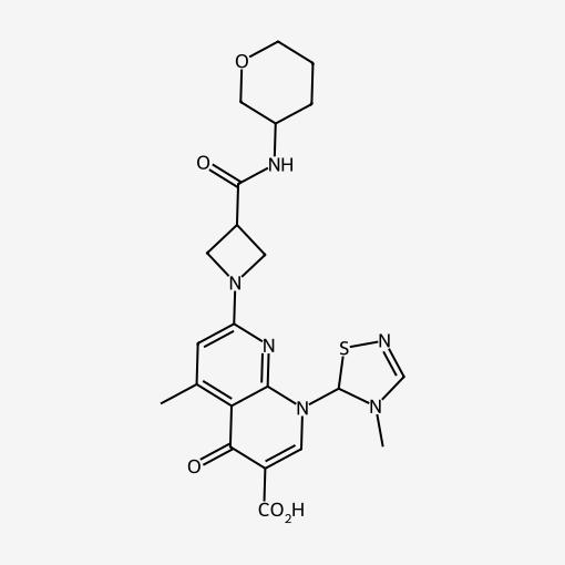 Cc1cc(N2CC(C(=O)NC3CCCOC3)C2)nc2c1c(=O)c(C(=O)O)cn2C1SN=CN1C